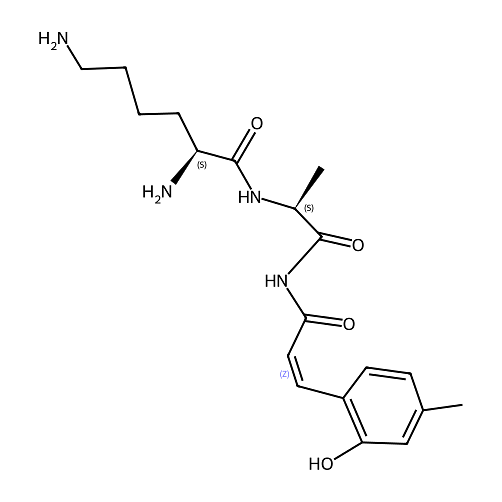 Cc1ccc(/C=C\C(=O)NC(=O)[C@H](C)NC(=O)[C@@H](N)CCCCN)c(O)c1